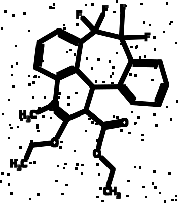 CCOC(=O)C(C(=O)OCC)C1c2ccccc2C(F)(F)C(F)(F)c2cccc(OC)c21